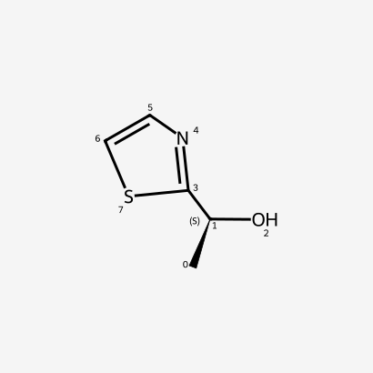 C[C@H](O)c1nccs1